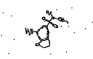 CN(C)S(=O)(=O)c1cc(N)c2c(c1)CCO2